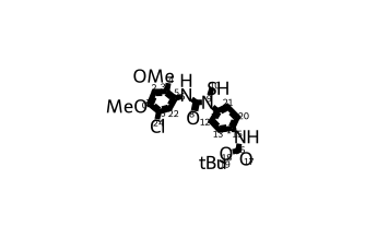 COc1cc(OC)c(NC(=O)N(S)c2ccc(NC(=O)OC(C)(C)C)cc2)cc1Cl